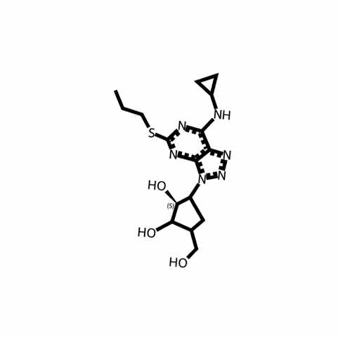 CCCSc1nc(NC2CC2)c2nnn(C3CC(CO)C(O)[C@H]3O)c2n1